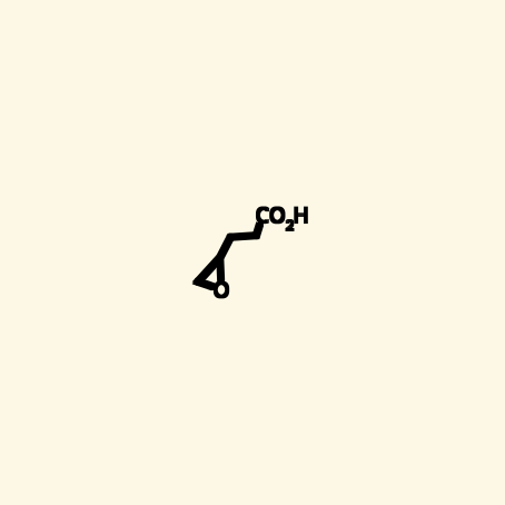 O=C(O)CCC1CO1